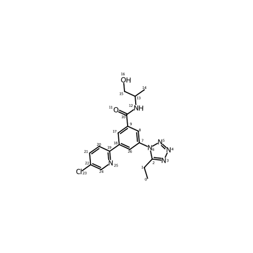 CCc1nnnn1-c1cc(C(=O)NC(C)CO)cc(-c2ccc(Cl)cn2)c1